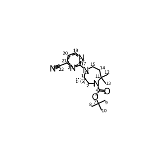 C[C@H]1CN(C(=O)OC(C)(C)C)C(C)(C)CCN1c1nccc(C#N)n1